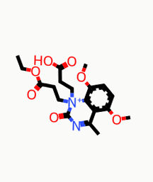 CCOC(=O)CC[N+]1(CCC(=O)O)C(=O)N=C(C)c2c(OC)ccc(OC)c21